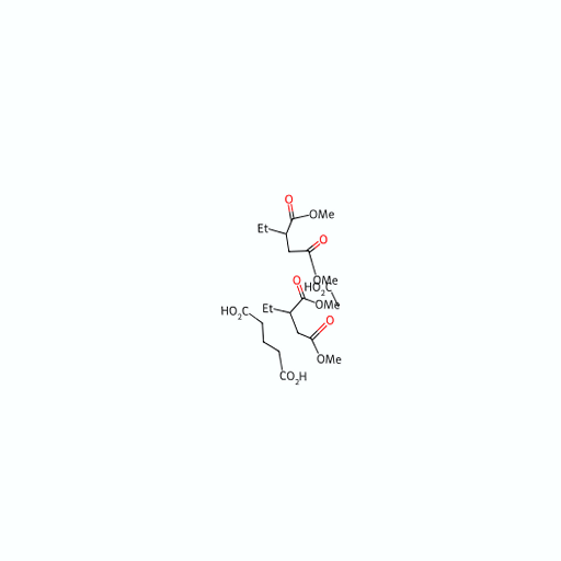 CC(=O)O.CCC(CC(=O)OC)C(=O)OC.CCC(CC(=O)OC)C(=O)OC.O=C(O)CCCC(=O)O